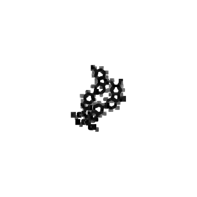 CN(C)c1nc2cc(N3CCc4c(c5cc(F)ccc5n4Cc4cc5c6c([nH]c5cc4F)CCN(c4ccc5nc(N(C)C)sc5c4)C6)C3)ccc2s1